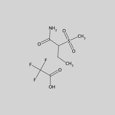 CCC(C(N)=O)S(C)(=O)=O.O=C(O)C(F)(F)F